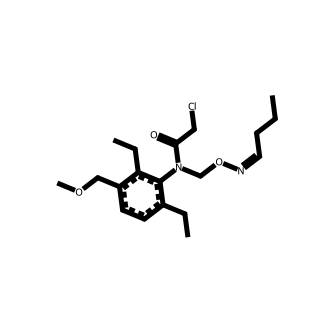 CCC/C=N\OCN(C(=O)CCl)c1c(CC)ccc(COC)c1CC